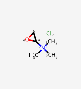 C[N+](C)(C)C1CO1.[Cl-]